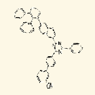 N#Cc1cccc(-c2ccc(-c3nc(-c4ccccc4)nc(-c4ccc5cc(-c6cccc(-c7ccccc7)c6-c6ccccc6)ccc5c4)n3)cc2)c1